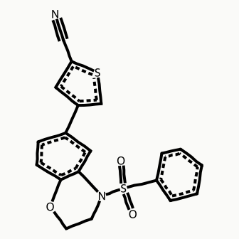 N#Cc1cc(-c2ccc3c(c2)N(S(=O)(=O)c2ccccc2)CCO3)cs1